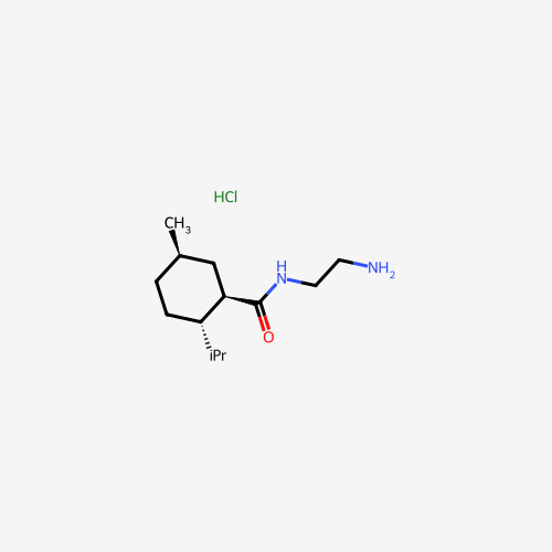 CC(C)[C@@H]1CC[C@@H](C)C[C@H]1C(=O)NCCN.Cl